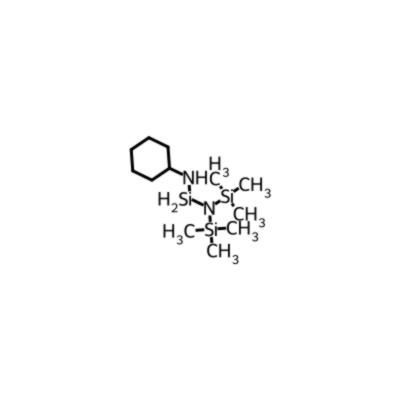 C[Si](C)(C)N([SiH2]NC1CCCCC1)[Si](C)(C)C